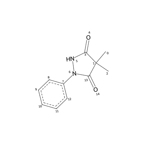 CC1(C)C(=O)NN(c2ccccc2)C1=O